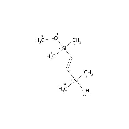 CO[Si](C)(C)/C=C/[Si](C)(C)C